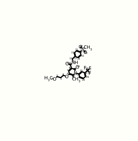 COCCCOc1cc(C(=O)NCc2ccc(S(C)(=O)=O)cc2)c(=O)n(-c2cccc(C(F)(F)F)c2)c1C